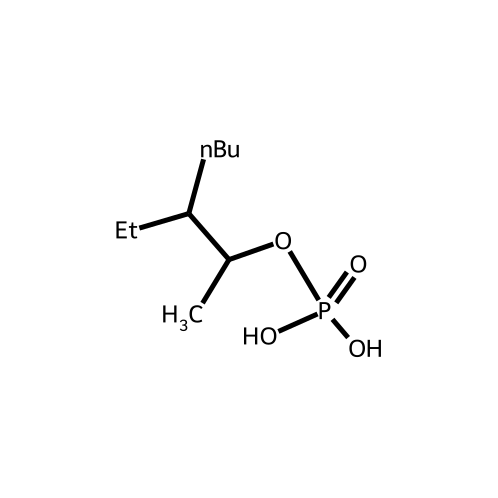 CCCCC(CC)C(C)OP(=O)(O)O